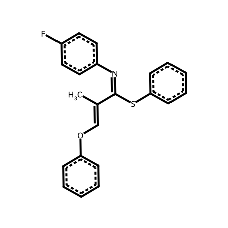 CC(=C\Oc1ccccc1)/C(=N\c1ccc(F)cc1)Sc1ccccc1